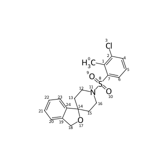 Cc1c(Cl)cccc1S(=O)(=O)N1CCC2(CC1)OCc1ccccc12